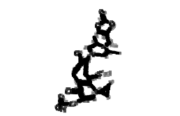 CC1CN(c2c(Cl)cc3c(=O)c(OC(=O)O)cn(C4CC4)c3c2F)CC(C)N1[C@@H](C)c1coc(=O)o1